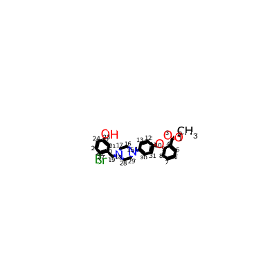 COC(=O)c1ccccc1Oc1ccc(N2CCN(Cc3cc(O)ccc3Br)CC2)cc1